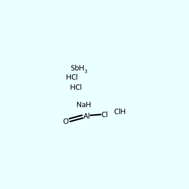 Cl.Cl.Cl.[NaH].[O]=[Al][Cl].[SbH3]